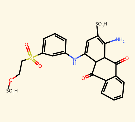 NC1=C(S(=O)(=O)O)C=C(Nc2cccc(S(=O)(=O)CCOS(=O)(=O)O)c2)C2C(=O)c3ccccc3C(=O)C12